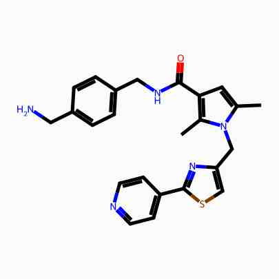 Cc1cc(C(=O)NCc2ccc(CN)cc2)c(C)n1Cc1csc(-c2ccncc2)n1